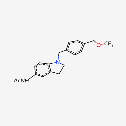 CC(=O)Nc1ccc2c(c1)CCN2Cc1ccc(COC(F)(F)F)cc1